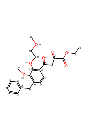 CCOC(=O)C(=O)CC(=O)c1ccc(Cc2ccccc2)c(OC)c1OCCOC